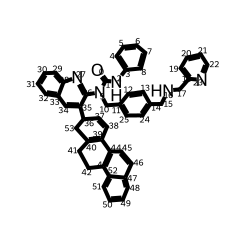 O=C(Nc1ccccc1)N(Cc1ccc(CNCc2ccccn2)cc1)c1nc2ccccc2cc1C1C=CC2=C(CCc3c2ccc2ccccc32)C1